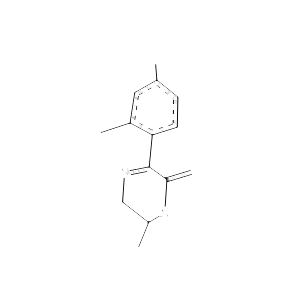 Cc1cc(F)ccc1C1=NCC(C)NC1=O